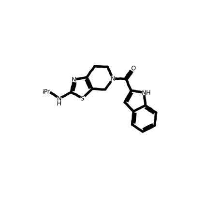 CC(C)Nc1nc2c(s1)CN(C(=O)c1cc3ccccc3[nH]1)CC2